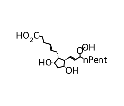 CCCCCC(/C=C/[C@@H]1[C@@H](C/C=C/CCC(=O)O)[C@@H](O)C[C@H]1O)OO